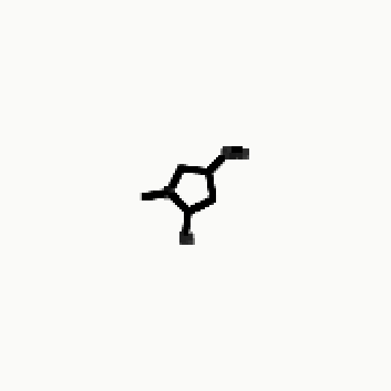 CCC1CC(OC)CN1C